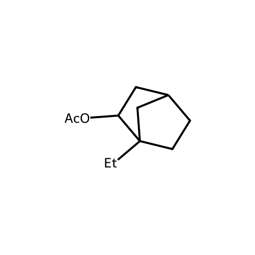 [CH2]C(=O)OC1CC2CCC1(CC)C2